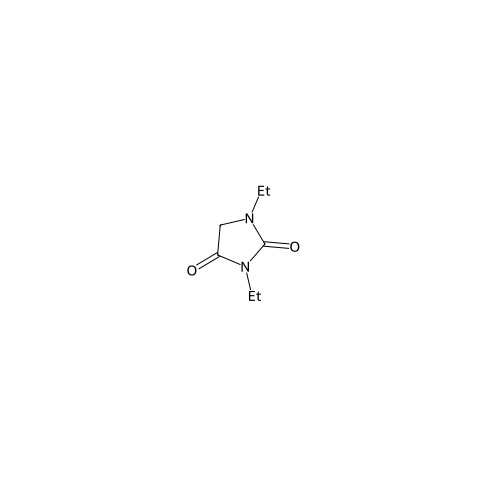 CCN1CC(=O)N(CC)C1=O